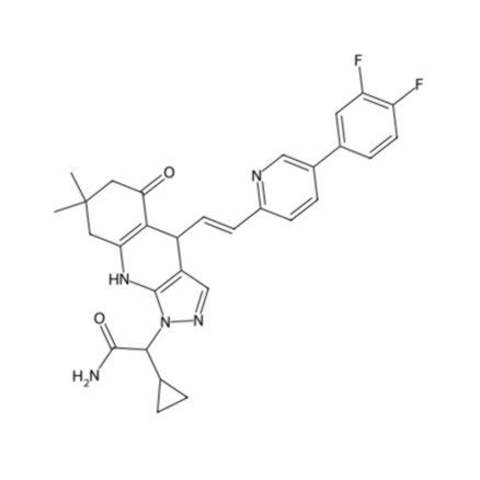 CC1(C)CC(=O)C2=C(C1)Nc1c(cnn1C(C(N)=O)C1CC1)C2C=Cc1ccc(-c2ccc(F)c(F)c2)cn1